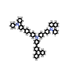 c1ccc(N(c2ccc(-c3ccc(N(c4ccc(-c5ccc(-c6ccc7c(c6)c6ccccc6n7-c6ccccc6)cc5)cc4)c4ccc(-c5ccc6c7ccccc7c7ccccc7c6c5)cc4)cc3)cc2)c2cccc3ccccc23)cc1